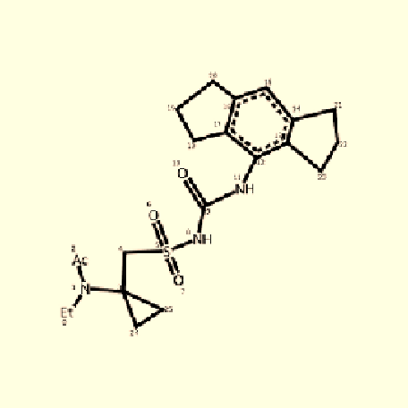 CCN(C(C)=O)C1(CS(=O)(=O)NC(=O)Nc2c3c(cc4c2CCC4)CCC3)CC1